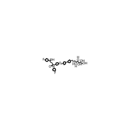 O=C1C(CCC(O)c2ccc(F)cc2)C(c2ccc(OCc3ccc(-c4ccc(CNCC(O)C(O)C(O)C(O)CO)cc4)cc3)cc2)N1c1ccc(F)cc1